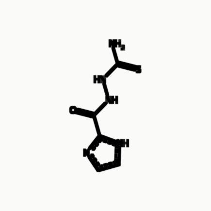 NC(=S)NNC(=O)c1ncc[nH]1